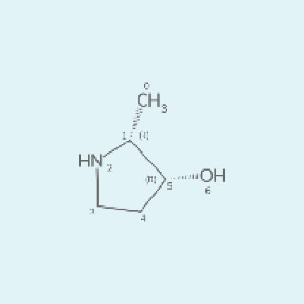 C[C@H]1NCC[C@H]1O